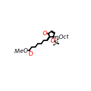 CCCCCCCC[C@@]1(O[Si](C)(C)C)C=CC(=O)C1=CCCCCCC(=O)OC